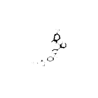 Cc1cc(N)ccc1Oc1ncccc1-c1ccnc(N[C@H]2CC[C@H](NC(=O)OC(C)(C)C)CC2)n1